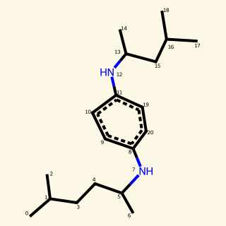 CC(C)CCC(C)Nc1ccc(NC(C)CC(C)C)cc1